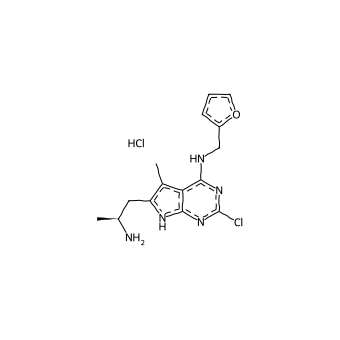 Cc1c(C[C@H](C)N)[nH]c2nc(Cl)nc(NCc3ccco3)c12.Cl